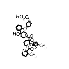 CCC[C@H]1N(C(=O)c2ncccc2C(F)(F)F)CCC[C@@]1(Oc1csc(C(F)(F)F)c1)C(=O)N1CCC(O)(c2ccccc2O[C@@H]2CC[C@@H](CC(=O)O)C2)CC1